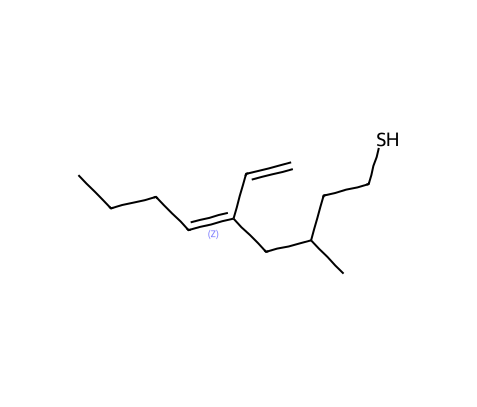 C=C/C(=C\CCC)CC(C)CCS